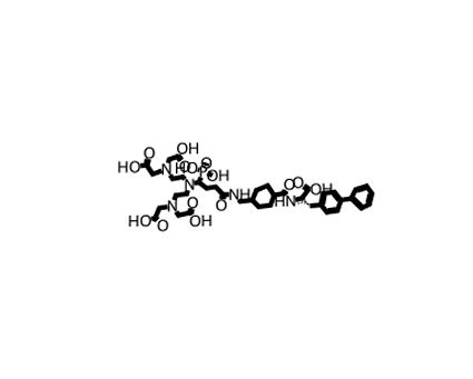 O=C(O)CN(CCN(CCN(CC(=O)O)CC(=O)O)C(CCC(=O)NCC1CCC(C(=O)N[C@@H](Cc2ccc(-c3ccccc3)cc2)C(=O)O)CC1)P(=O)(O)O)CC(=O)O